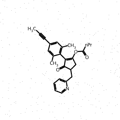 CC#Cc1cc(C)c(C2=C(OC(=O)CCC)CC(Cc3ccccn3)C2=O)c(C)c1